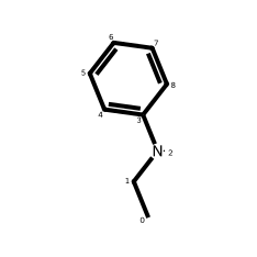 CC[N]c1ccccc1